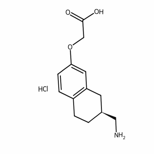 Cl.NC[C@H]1CCc2ccc(OCC(=O)O)cc2C1